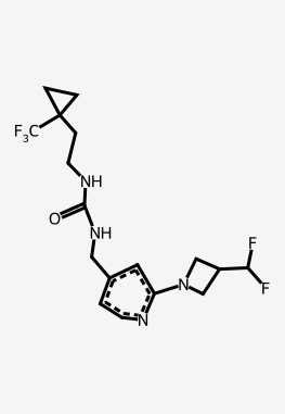 O=C(NCCC1(C(F)(F)F)CC1)NCc1ccnc(N2CC(C(F)F)C2)c1